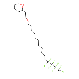 FC(F)(F)C(F)(F)C(F)(F)C(F)(F)CCCCCCCCCCCOCCC1CCCCO1